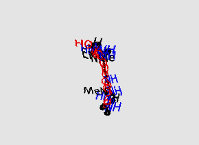 CC[C@H](NC)C(=O)N[C@@H]1C(=O)N2[C@@H](CC[C@@H]1CO)CC[C@H]2C(=O)N[C@H](C(=O)NCCOCCOCCOCCNC(=O)COCC(=O)NC[C@H]1CC[C@H]2CC[C@@H](C(=O)NC(c3ccccc3)c3ccccc3)N2C(=O)[C@H]1NC(=O)CNC)c1ccccc1